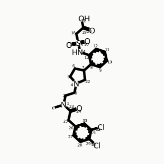 CN(CCN1CCC(c2ccccc2NS(=O)(=O)CC(=O)O)C1)C(=O)Cc1ccc(Cl)c(Cl)c1